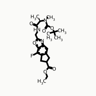 CCOC(=O)C1Cc2cc3nc(CNC(=O)[C@@H](C)N(C)C(=O)OC(C)(C)C)oc3c(F)c2C1